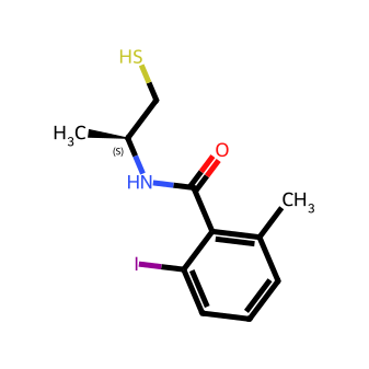 Cc1cccc(I)c1C(=O)N[C@@H](C)CS